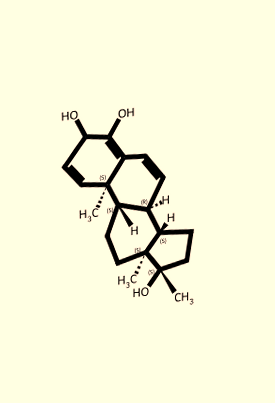 C[C@]12C=CC(O)C(O)=C1C=C[C@@H]1[C@@H]2CC[C@@]2(C)[C@H]1CC[C@]2(C)O